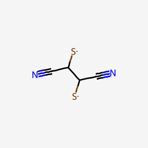 N#CC([S])C([S])C#N